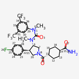 CN(C(=O)N(C)[C@@H]1CN(C(=O)[C@H]2CC[C@H](C(N)=O)CC2)C[C@H]1c1ccc(F)cc1)c1cc(C(F)(F)F)cc(C(F)(F)F)c1